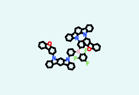 Fc1cc(F)c(B(c2cccc(-n3c4ccccc4c4cc5c6ccccc6n(-c6ccc7oc8ccccc8c7c6)c5cc43)c2)c2cccc(-n3c4ccccc4c4ccc5c6ccccc6n(-c6ccc7oc8ccccc8c7c6)c5c43)c2)c(F)c1